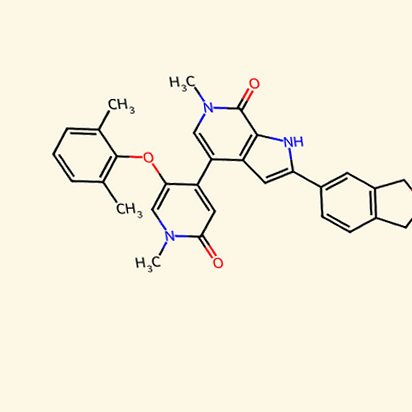 Cc1cccc(C)c1Oc1cn(C)c(=O)cc1-c1cn(C)c(=O)c2[nH]c(-c3ccc4c(c3)COC4)cc12